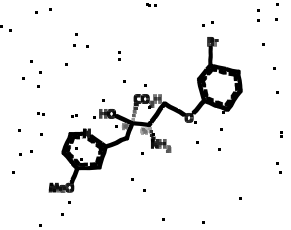 COc1ccnc(C[C@](O)(C(=O)O)[C@@H](N)COc2cccc(Br)c2)c1